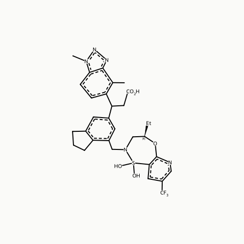 CC[C@@H]1CN(Cc2cc(C(CC(=O)O)c3ccc4c(nnn4C)c3C)cc3c2CCC3)S(O)(O)c2cc(C(F)(F)F)cnc2O1